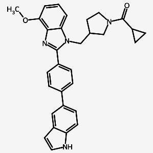 COc1cccc2c1nc(-c1ccc(-c3ccc4[nH]ccc4c3)cc1)n2CC1CCN(C(=O)C2CC2)C1